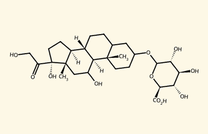 C[C@]12CCC(OC3O[C@H](C(=O)O)[C@@H](O)[C@H](O)[C@H]3O)CC1CC[C@@H]1[C@@H]2C(O)C[C@@]2(C)[C@H]1CC[C@]2(O)C(=O)CO